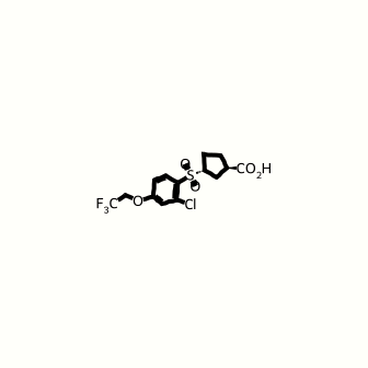 O=C(O)[C@@H]1CC[C@@H](S(=O)(=O)c2ccc(OCC(F)(F)F)cc2Cl)C1